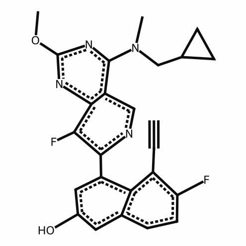 C#Cc1c(F)ccc2cc(O)cc(-c3ncc4c(N(C)CC5CC5)nc(OC)nc4c3F)c12